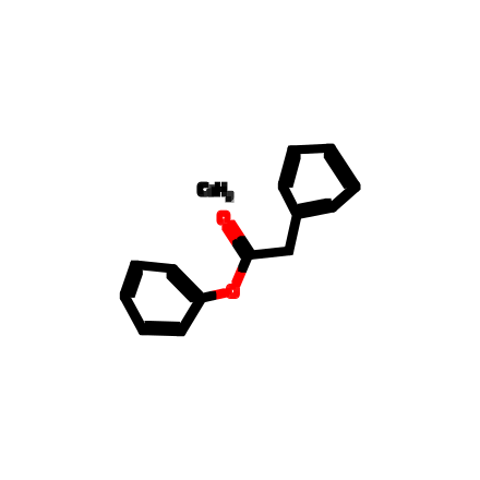 O=C(Cc1ccccc1)Oc1ccccc1.[CaH2]